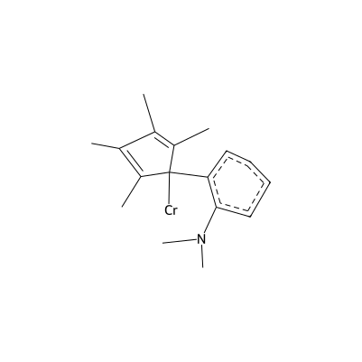 CC1=C(C)[C]([Cr])(c2ccccc2N(C)C)C(C)=C1C